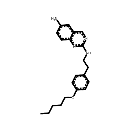 CCCCCOc1ccc(CCNc2ncc3cc(N)ccc3n2)cc1